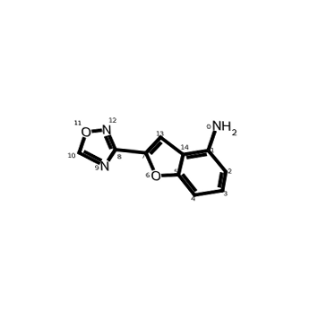 Nc1cccc2oc(-c3ncon3)cc12